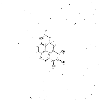 CC(O)CC(S[C@@H]1O[C@H](CO)[C@H](O)[C@H](O)[C@H]1O)c1ccccc1